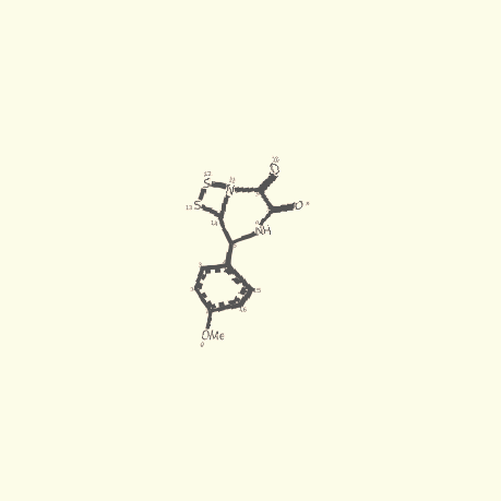 COc1ccc(C2NC(=O)C(=O)N3SSC23)cc1